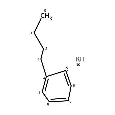 CCCCc1[c]cccc1.[KH]